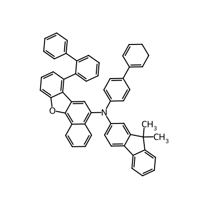 CC1(C)c2ccccc2-c2ccc(N(c3ccc(C4=CCCC=C4)cc3)c3cc4c(oc5cccc(-c6ccccc6-c6ccccc6)c54)c4ccccc34)cc21